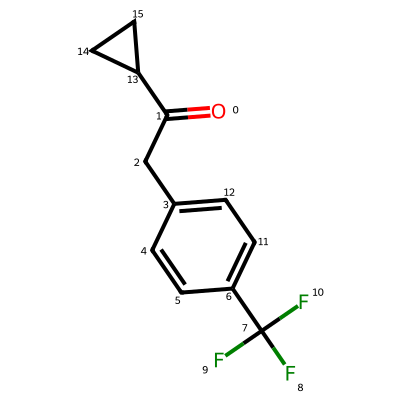 O=C(Cc1ccc(C(F)(F)F)cc1)C1CC1